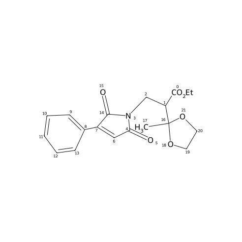 CCOC(=O)C(CN1C(=O)C=C(c2ccccc2)C1=O)C1(C)OCCO1